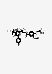 COc1cc(C(=O)NCC(O)(c2cc3c(c(-c4ccc(F)cc4)n2)OCC3(C)N)C(F)(F)F)ccc1OCC(C)O